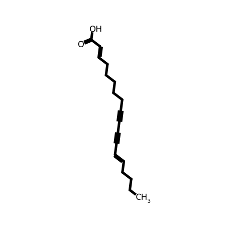 CCCCC=CC#CC#CCCCCCC=CC(=O)O